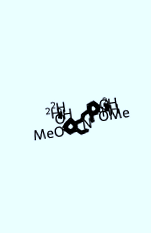 [2H]C([2H])([2H])Oc1cc2c(cc1OC)CCN1Cc3c(ccc(OC([2H])([2H])[2H])c3OC)CC21